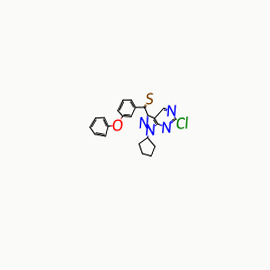 S=C(c1cccc(Oc2ccccc2)c1)c1nn(C2CCCC2)c2nc(Cl)ncc12